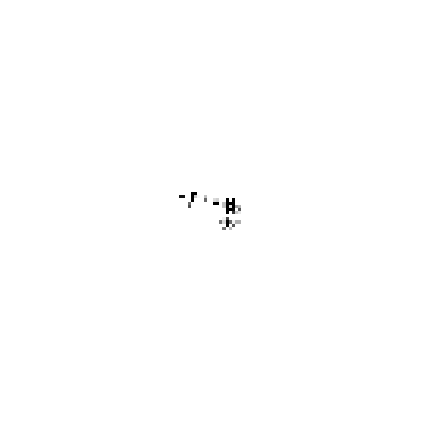 [AsH3].[Fe].[PbH2].[SbH3]